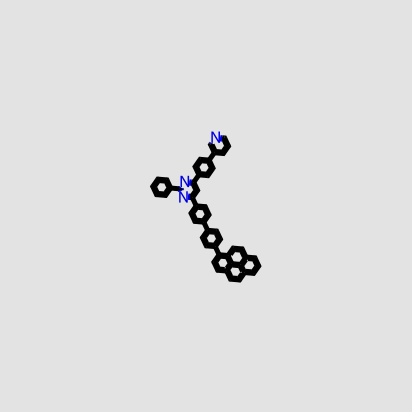 c1ccc(-c2nc(-c3ccc(-c4ccc(-c5ccc6ccc7cccc8ccc5c6c78)cc4)cc3)cc(-c3ccc(-c4cccnc4)cc3)n2)cc1